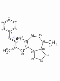 C=C(/C=C/c1ccccc1)OC1C(C(C)C)CCC(C)C2CCCC21